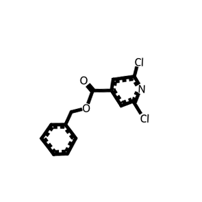 O=C(OCc1ccccc1)c1cc(Cl)nc(Cl)c1